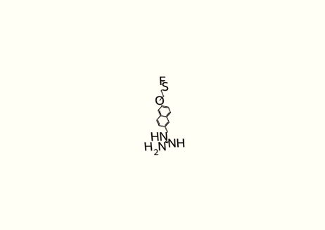 N=C(N)NCc1ccc2cc(OCCSF)ccc2c1